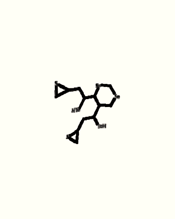 [TeH]C(CC1CS1)C1C[Se]C[Se]C1C([TeH])CC1CS1